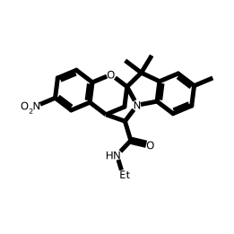 CCNC(=O)C1C2CC3(Oc4ccc([N+](=O)[O-])cc42)N1c1ccc(C)cc1C3(C)C